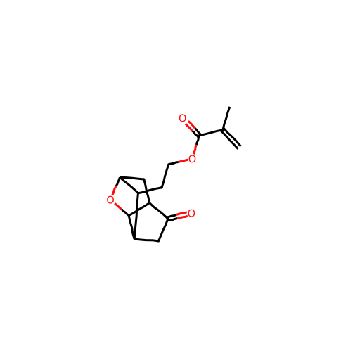 C=C(C)C(=O)OCCC1C2CC3C(=O)CC1C3O2